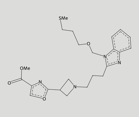 COC(=O)c1coc(C2CN(CCCc3nc4ccccc4n3COCCCSC)C2)n1